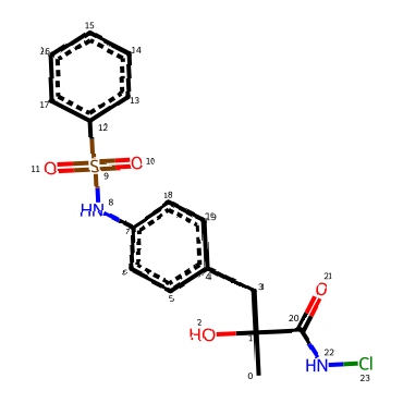 CC(O)(Cc1ccc(NS(=O)(=O)c2ccccc2)cc1)C(=O)NCl